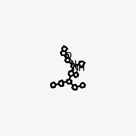 C1=C(c2ccc3c(c2)oc2c4ccccc4ccc32)N=C(c2ccccc2)NC1c1ccc(-c2cc(-c3ccc(-c4ccccc4)cc3)cc(-c3cccc(-c4ccccc4)c3)c2)c2ccccc12